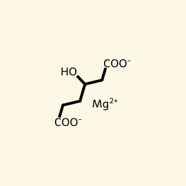 O=C([O-])CCC(O)CC(=O)[O-].[Mg+2]